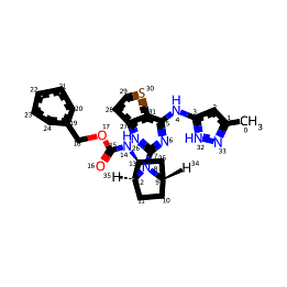 Cc1cc(Nc2nc(N3[C@H]4CC[C@H]3[C@@H](NC(=O)OCc3ccccc3)C4)nc3ccsc23)[nH]n1